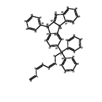 C=C/C=C\C=C/C[Si](c1ccccc1)(c1ccccc1)c1ccc2c(c1)n1c3ccccc3nc1n2-c1ccccc1